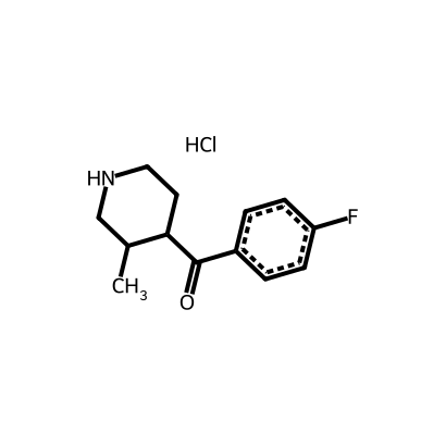 CC1CNCCC1C(=O)c1ccc(F)cc1.Cl